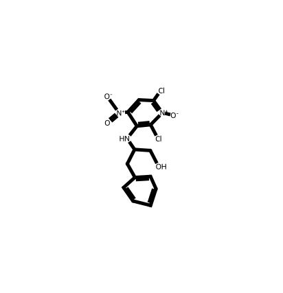 O=[N+]([O-])c1cc(Cl)[n+]([O-])c(Cl)c1NC(CO)Cc1ccccc1